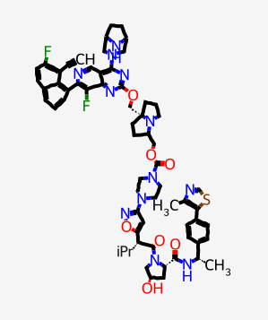 C#Cc1c(F)ccc2cccc(-c3ncc4c(N5CC6CCC(C5)N6)nc(OC[C@]56CCCN5C(COC(=O)N5CCN(c7cc([C@H](C(=O)N8C[C@H](O)C[C@H]8C(=O)N[C@@H](C)c8ccc(-c9scnc9C)cc8)C(C)C)on7)CC5)CC6)nc4c3F)c12